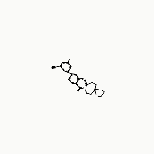 N#Cc1cc(F)cc(-c2ccc3c(=O)n4c(nc3c2)CCC2(CC4)OCCO2)c1